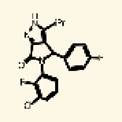 CC(C)c1[nH]nc2c1C(c1ccc(F)cc1)N(c1cccc(Cl)c1F)C2=O